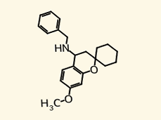 COc1ccc2c(c1)OC1(CCCCC1)CC2NCc1ccccc1